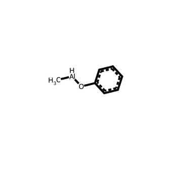 [CH3][AlH][O]c1ccccc1